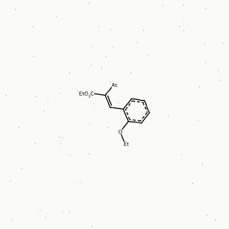 CCOC(=O)C(=Cc1ccccc1OCC)C(C)=O